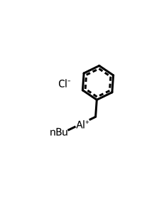 CCC[CH2][Al+][CH2]c1ccccc1.[Cl-]